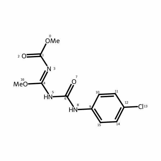 COC(=O)N=C(NC(=O)Nc1ccc(Cl)cc1)OC